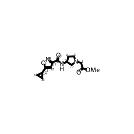 COC(=O)CN1CCC(NC(=O)c2cc(C3CC3)on2)C1